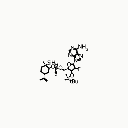 C=C(C)[C@@H]1CC[C@](C)([SiH3])[C@@H](O[PH](=S)OC[C@H]2O[C@@H](n3cnc4c(N)ncnc43)C(F)C2O[Si](C)(C)C(C)(C)C)C1